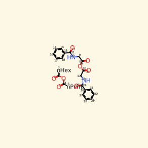 CCCCCCC(=O)OC(=O)CCCCC.O=C(CNC(=O)c1ccccc1)OC(=O)CNC(=O)c1ccccc1